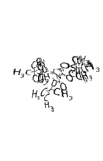 CC(C)(C)OC(=O)N1C(=O)[C@@H](O[Si](C)(C)C(C)(C)C)C[C@H]1CO[Si](C)(C)C(C)(C)C